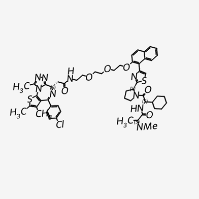 CN[C@@H](C)C(=O)N[C@H](C(=O)N1CCC[C@H]1c1nc(-c2c(OCCOCCOCCNC(=O)C[C@@H]3N=C(c4ccc(Cl)cc4)c4c(sc(C)c4C)-n4c(C)nnc43)ccc3ccccc23)cs1)C1CCCCC1